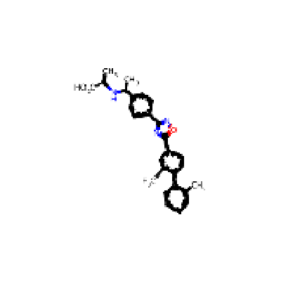 Cc1ccccc1-c1ccc(-c2nc(-c3ccc([C@H](C)N[C@H](C)C(=O)O)cc3)no2)cc1C(F)(F)F